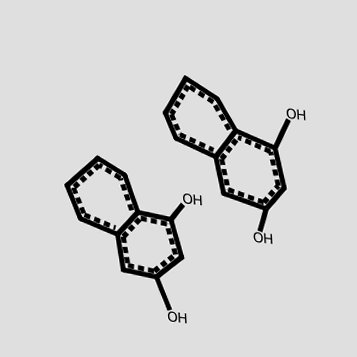 Oc1cc(O)c2ccccc2c1.Oc1cc(O)c2ccccc2c1